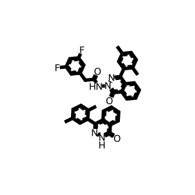 Cc1ccc(C)c(-c2n[nH]c(=O)c3ccccc23)c1.Cc1ccc(C)c(-c2nn(NC(=O)Cc3cc(F)cc(F)c3)c(=O)c3ccccc23)c1